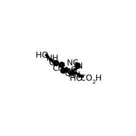 N#Cc1cncc(COc2nc(O[C@H]3CCc4c(-c5cccc(-c6ccc(OCCNCCO)cc6)c5Cl)cccc43)ccc2CNC[C@@H](O)CC(=O)O)c1